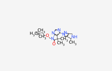 CC1NCc2nn(-c3ncnc4c3C(C)(C)C(=O)N4COCC[Si](C)(C)C)cc21